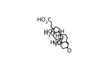 C[C@]12CCC(=O)C=C1CC[C@H]1[C@@H]3CC[C@](O)(CCC(=O)O)[C@@]3(C)CC(N=O)[C@@]12F